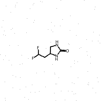 O=C1NCC(CC(F)F)N1